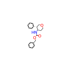 O=C(N[C@@H]1CCOC[C@H]1c1ccccc1)OCc1ccccc1